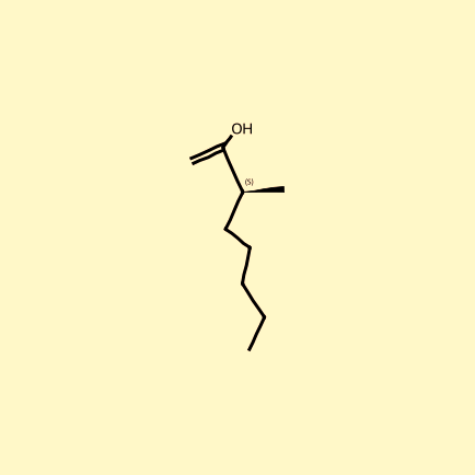 C=C(O)[C@@H](C)CCCCC